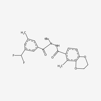 Cc1cc(C(=O)N(NC(=O)c2ccc3c(c2C)OCCO3)C(C)(C)C)cc(C(F)F)c1